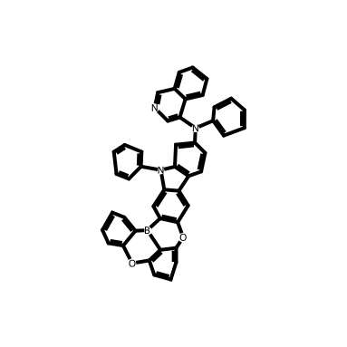 c1ccc(N(c2ccc3c4cc5c(cc4n(-c4ccccc4)c3c2)B2c3ccccc3Oc3cccc(c32)O5)c2cncc3ccccc23)cc1